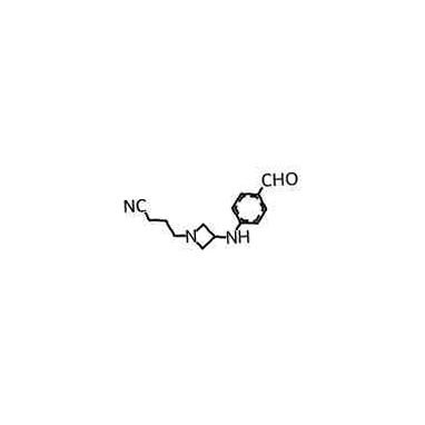 N#CCCCN1CC(Nc2ccc(C=O)cc2)C1